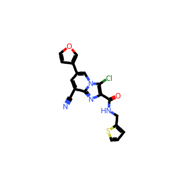 N#Cc1cc(-c2ccoc2)cn2c(Cl)c(C(=O)NCc3cccs3)nc12